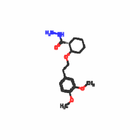 COc1ccc(CCO[C@@H]2CCCC[C@H]2C(=O)NN)cc1OC